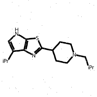 CC(C)CN1CCC(c2nc3c(C(C)C)c[nH]c3s2)CC1